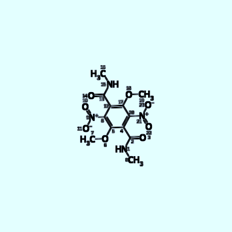 CNC(=O)c1c(OC)c([N+](=O)[O-])c(C(=O)NC)c(OC)c1[N+](=O)[O-]